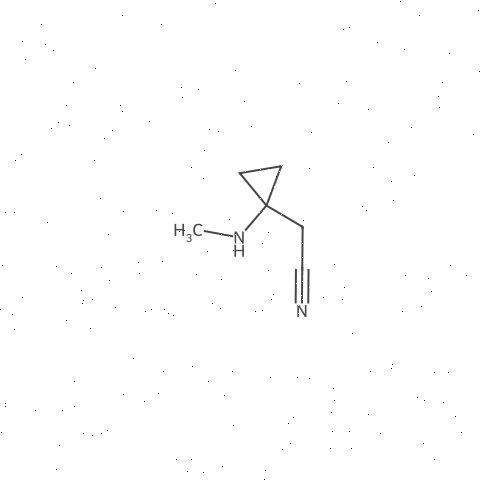 CNC1(CC#N)CC1